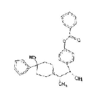 C[C@@H]([C@@H](O)c1ccc(OC(=O)c2ccccc2)cc1)N1CCC(O)(c2ccccc2)CC1